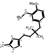 COc1ccc(CC(C)(C)CCc2csc(C)n2)cc1OC(C)(C)C